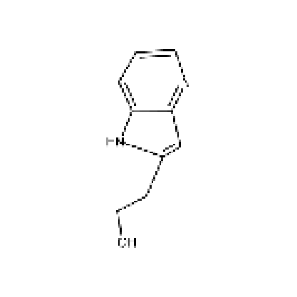 OCCc1cc2ncccc2[nH]1